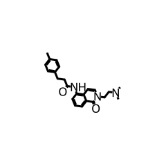 Cc1ccc(CCC(=O)Nc2cccc3c(=O)n(CCN(C)C)ccc23)cc1